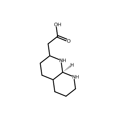 O=C(O)CC1CCC2CCCN[C@@H]2N1